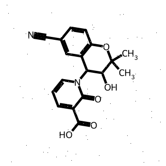 CC1(C)Oc2ccc(C#N)cc2C(n2cccc(C(=O)O)c2=O)C1O